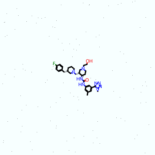 Cc1cc(NC(=O)N[C@@H]2CCN(CCO)C[C@H]2CN2CCC[C@@H](Cc3ccc(F)cc3)C2)cc(-c2nnnn2C)c1